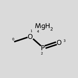 COP=O.[MgH2]